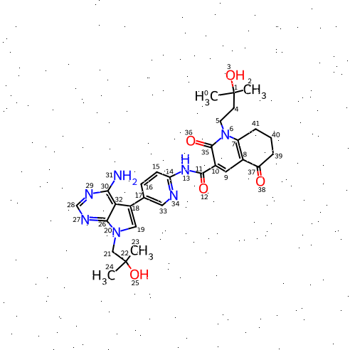 CC(C)(O)CCn1c2c(cc(C(=O)Nc3ccc(-c4cn(CC(C)(C)O)c5ncnc(N)c45)cn3)c1=O)C(=O)CCC2